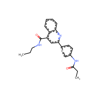 CCCNC(=O)c1cc(-c2ccc(NC(=O)CC)cc2)nc2ccccc12